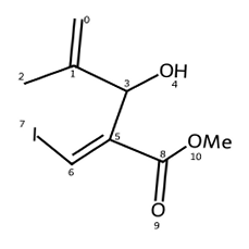 C=C(C)C(O)C(=CI)C(=O)OC